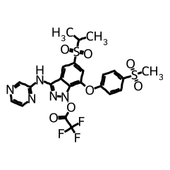 CC(C)S(=O)(=O)c1cc(Oc2ccc(S(C)(=O)=O)cc2)c2c(c1)c(Nc1cnccn1)nn2OC(=O)C(F)(F)F